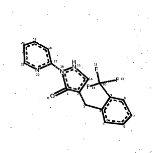 O=c1c(Cc2ccccc2C(F)(F)F)c[nH]n1-c1ccccn1